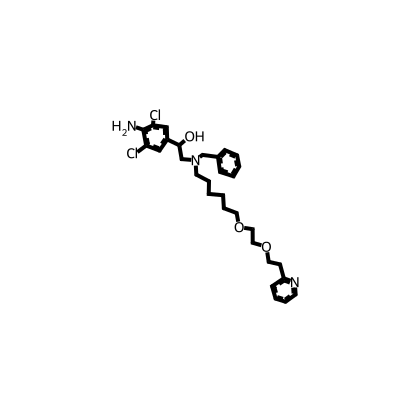 Nc1c(Cl)cc(C(O)CN(CCCCCCOCCOCCc2ccccn2)Cc2ccccc2)cc1Cl